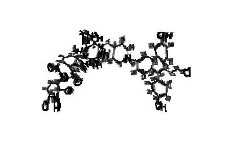 [2H]C1([2H])N(CC2CCN(c3ccc(C(=C(CCCl)c4ccc(O)cc4)c4ccc(O)cc4)cc3)CC2)C([2H])([2H])C([2H])([2H])N(c2ccc3c(c2F)C(=O)N(C2CCC(=O)NC2=O)C3=O)C1([2H])[2H]